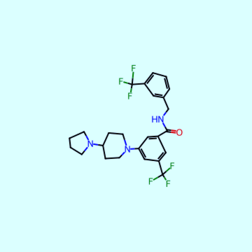 O=C(NCc1cccc(C(F)(F)F)c1)c1cc(N2CCC(N3CCCC3)CC2)cc(C(F)(F)F)c1